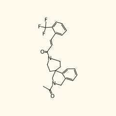 CC(=O)N1Cc2ccccc2C2(CCN(C(=O)C=Cc3ccccc3C(F)(F)F)CC2)C1